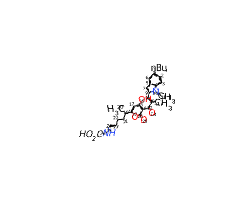 CCCCc1ccc2c(c1)cc(/C=C(\C)C(=O)c1c(O)cc(C(C)CC/C=C/NC(=O)O)oc1=O)n2C